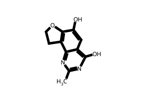 Cc1nc(O)c2cc(O)c3c(c2n1)CCO3